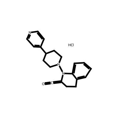 Cl.O=C=C1CCc2ccccc2N1N1CCC(c2ccncc2)CC1